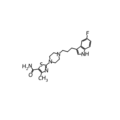 Cc1nc(N2CCN(CCCc3c[nH]c4ccc(F)cc34)CC2)sc1C(N)=O